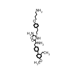 CCc1cc(OC)ccc1-c1ccc(C[C@H](N)C(=O)N[C@@H](CCCc2ccc(OCCCCN)cc2)C(N)=O)cc1